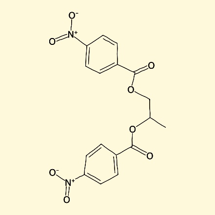 CC(COC(=O)c1ccc([N+](=O)[O-])cc1)OC(=O)c1ccc([N+](=O)[O-])cc1